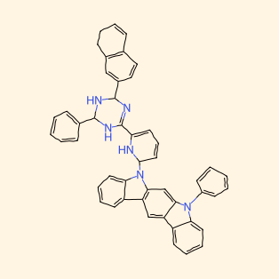 C1=CC(n2c3ccccc3c3cc4c5ccccc5n(-c5ccccc5)c4cc32)NC(C2=NC(c3ccc4c(c3)CCC=C4)NC(c3ccccc3)N2)=C1